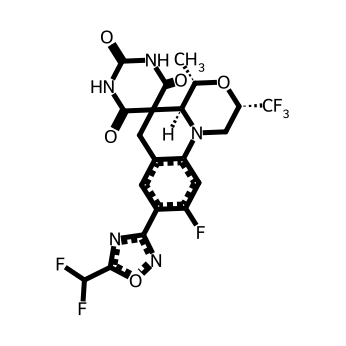 C[C@@H]1O[C@H](C(F)(F)F)CN2c3cc(F)c(-c4noc(C(F)F)n4)cc3CC3(C(=O)NC(=O)NC3=O)[C@@H]12